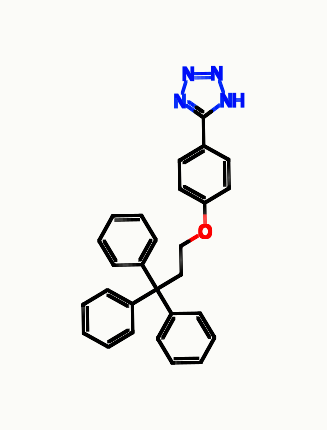 c1ccc(C(CCOc2ccc(-c3nnn[nH]3)cc2)(c2ccccc2)c2ccccc2)cc1